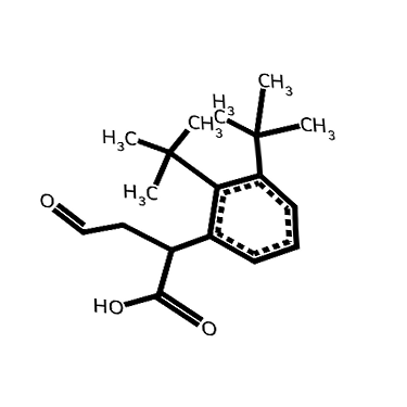 CC(C)(C)c1cccc(C(CC=O)C(=O)O)c1C(C)(C)C